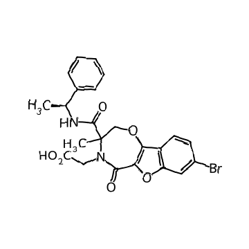 C[C@H](NC(=O)C1(C)COc2c(oc3cc(Br)ccc23)C(=O)N1CC(=O)O)c1ccccc1